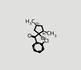 C[C@H]1C[C@@H](C)C(Br)(C(=O)c2ccccc2Cl)C1